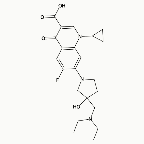 CCN(CC)CC1(O)CCN(c2cc3c(cc2F)c(=O)c(C(=O)O)cn3C2CC2)C1